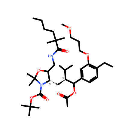 CCCCC(C)(C)C(=O)NCC1OC(C)(C)N(C(=O)OC(C)(C)C)[C@H]1C[C@@H](C(C)C)C(OC(C)=O)c1ccc(CC)c(OCCCOC)c1